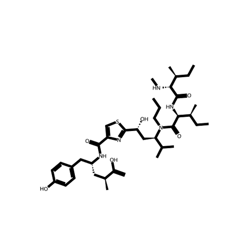 C=C(O)[C@@H](C)C[C@H](Cc1ccc(O)cc1)NC(=O)c1csc([C@H](O)C[C@H](C(C)C)N(CCC)C(=O)[C@@H](NC(=O)[C@H](NC)[C@@H](C)CC)[C@@H](C)CC)n1